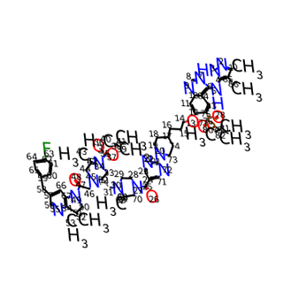 Cc1n[nH]c(Nc2ncnc3cc(OCCCC4CCN(c5ncc(C(=O)N6CCN(C[C@H]7CN(C(=O)OC(C)(C)C)[C@@H](C)CN7CC(=O)N7CC(C)(C)c8ncc(Cc9ccc(F)cc9)cc87)[C@H](C)C6)cn5)CC4)c(S(=O)(=O)C(C)(C)C)cc23)c1C